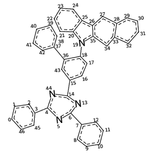 c1ccc(-c2nc(-c3ccccc3)nc(-c3ccc(-n4c5ccccc5c5cc6ccccc6cc54)c(-c4ccccc4)c3)n2)cc1